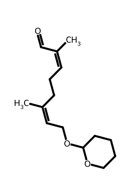 CC(C=O)=CCCC(C)=CCOC1CCCCO1